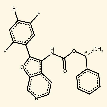 C[C@@H](OC(=O)Nc1c(-c2cc(F)c(Br)cc2F)oc2cnccc12)c1ccccc1